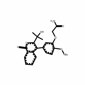 CCCCOc1ccc(-c2c(C(C)(C)O)oc(=O)c3ccccc23)cc1OCC(N)=O